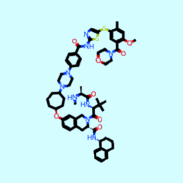 CN[C@@H](C)C(=O)N[C@H](C(=O)N1Cc2cc(O[C@H]3CCCC(N4CCN(c5ccc(C(=O)Nc6ncc(Sc7cc(C(=O)N8CCOCC8)c(OC)cc7C)s6)cc5)CC4)CC3)ccc2C[C@H]1C(=O)N[C@@H]1CCCc2ccccc21)C(C)(C)C